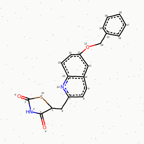 O=C1NC(=O)C(Cc2ccc3cc(OCc4ccccc4)ccc3n2)S1